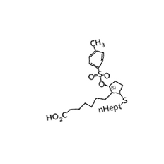 CCCCCCCSC1CC[C@H](OS(=O)(=O)c2ccc(C)cc2)C1CCCCCCC(=O)O